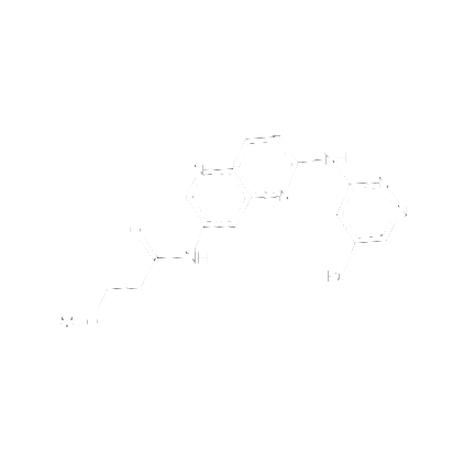 COCCC(=O)Nc1cnc2ccc(Nc3cc(C(C)C)cnn3)nc2c1